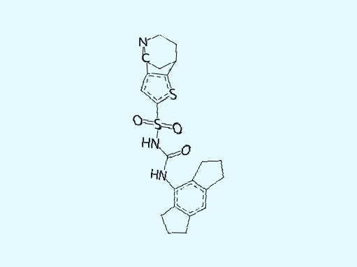 O=C(Nc1c2c(cc3c1CCC3)CCC2)NS(=O)(=O)c1cc2c(s1)C1CCN(CC1)C2